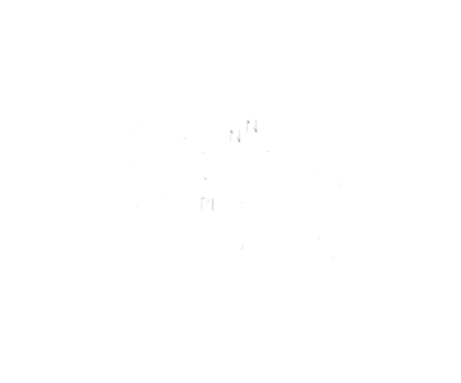 C=C/C=C1/B/C(=C(/N=N\C=C)C2=C\C(=C)/C=C\C(C)/C=C\C(=C)\C=C/2)C(=C)C(/C=C\C)=C1C(=C)C=C